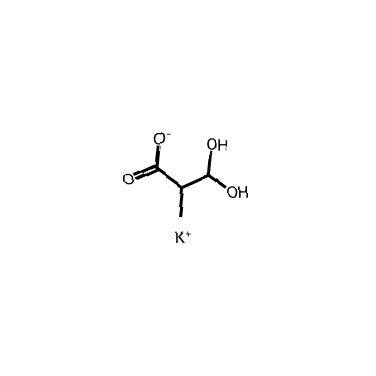 CC(C(=O)[O-])C(O)O.[K+]